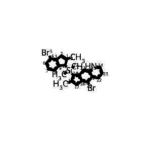 CC1=Cc2c(Br)cccc2C1[Si](C)(C)c1c(C)cc2c(Br)c3ccc[nH]c3cc12